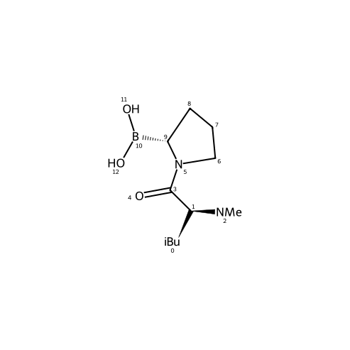 CC[C@H](C)[C@H](NC)C(=O)N1CCC[C@H]1B(O)O